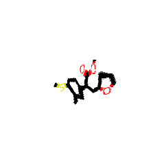 COC(=O)C(CC1CCCO1)c1ccc(SC)c(C)c1